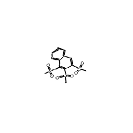 CS(=O)(=O)c1cc2ccccc2c(S(C)(=O)=O)c1S(C)(=O)=O